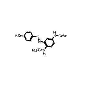 CONc1ccc(NOC)c(N=Nc2ccc(O)cc2)c1